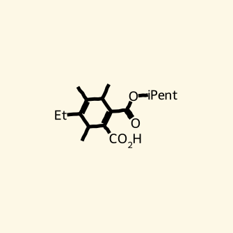 CCCC(C)OC(=O)C1=C(C(=O)O)C(C)C(CC)=C(C)C1C